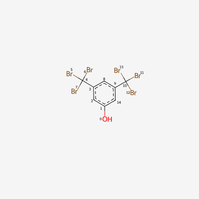 Oc1cc(C(Br)(Br)Br)cc(C(Br)(Br)Br)c1